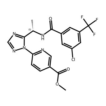 COC(=O)c1ccc(-n2ncnc2[C@H](C)NC(=O)c2cc(Cl)cc(C(F)(F)F)c2)nc1